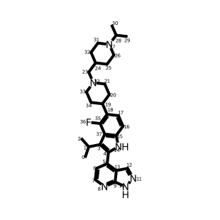 CC(C)c1c(-c2ccnc3[nH]ncc23)[nH]c2ccc(C3CCN(CC4CCN(C(C)C)CC4)CC3)c(F)c12